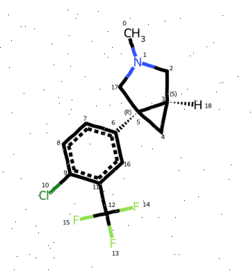 CN1C[C@H]2C[C@@]2(c2ccc(Cl)c(C(F)(F)F)c2)C1